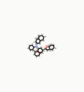 c1ccc(-c2ccccc2N(c2cccc(-c3cc4ccccc4o3)c2)c2ccc3ccccc3c2)cc1